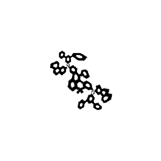 CC1(C)c2cc(N(c3cc(-c4ccccc4)cc(-c4ccccc4)c3)c3ccc4ccc5ccccc5c4c3)ccc2-c2c(-c3ccccc3)c3ccc(N(c4cc(-c5ccccc5)cc(-c5ccccc5)c4)c4ccc5ccc6ccccc6c5c4)cc3c3cccc1c23